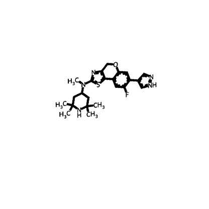 CN(c1nc2c(s1)-c1cc(F)c(-c3cn[nH]c3)cc1OC2)C1CC(C)(C)NC(C)(C)C1